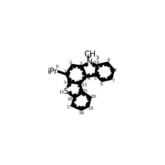 CC(C)c1cc2c(c3ccccc3n2C)c2c1sc1ccccc12